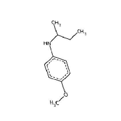 CCC(C)Nc1ccc(OC)cc1